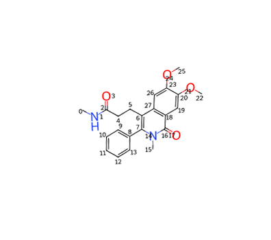 CNC(=O)CCc1c(-c2ccccc2)n(C)c(=O)c2cc(OC)c(OC)cc12